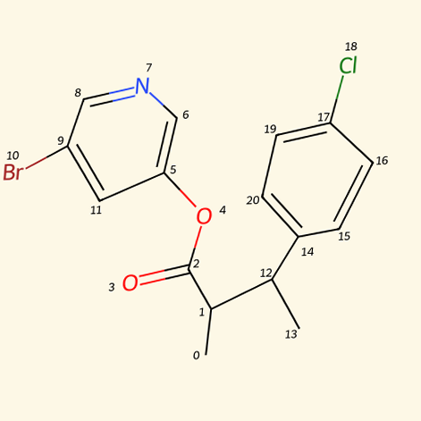 CC(C(=O)Oc1cncc(Br)c1)C(C)c1ccc(Cl)cc1